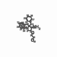 COCCOC1CN(C(C)(C)COC)C(Cc2ccccc2)(Cc2ccccc2)C1N